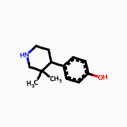 CC1(C)CNCCC1c1ccc(O)cc1